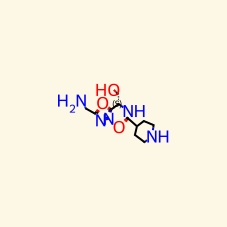 NCc1nnc([C@H](CO)NC(=O)C2CCNCC2)o1